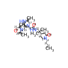 CCCCn1ccc(C(C)(C)CNC(=O)CN2C[C@@H](C)NC[C@@H]2CN2[C@H](C)COC[C@H]2C)cc1=O